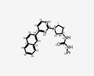 CC(C)NC(=O)N[C@@H]1CCN(c2nccc(-c3ccc4ccccc4c3)n2)C1